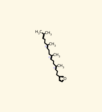 CC(C)=CCC/C(C)=C/CC/C(C)=C/CC/C(C)=C/CCc1ccoc1